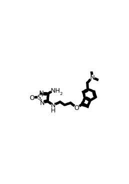 CN(C)Cc1ccc2c(c1)C(OCCCNc1n[s+]([O-])nc1N)=C2